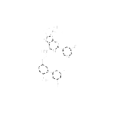 CC1(C)COc2nc3c(NCCc4ccc(O)c(-c5cc(F)cc(F)c5)c4)nc(-c4cncc(F)c4)nc3n21